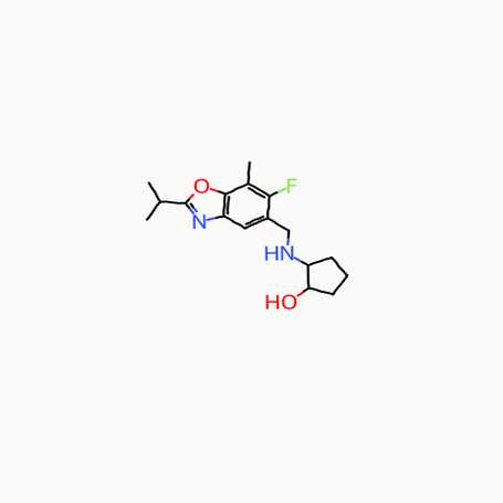 Cc1c(F)c(CNC2CCCC2O)cc2nc(C(C)C)oc12